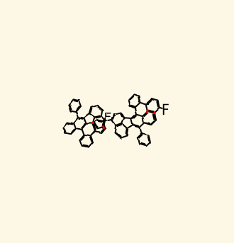 Fc1ccc(-c2ccccc2-c2c3c(c(-c4ccccc4)c4ccccc24)-c2cccc4c(-c5ccc6c7c(cccc57)-c5c-6c(-c6ccccc6-c6ccc(F)cc6)c6ccccc6c5-c5ccccc5)ccc-3c24)cc1